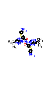 CC(C)c1ccc2c(Nc3cc(C(=O)NNC(=O)c4ccc(Sc5ccc(N)cc5)c(Nc5ncnc6nc(C(C)C)ccc56)c4)ccc3Sc3ccc(N)cc3)ncnc2n1